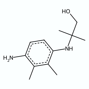 Cc1c(N)ccc(NC(C)(C)CO)c1C